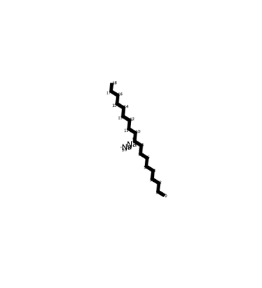 CCCCCCCCCCCCCCCCCCC.[Na].[Na]